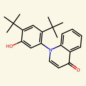 CC(C)(C)c1cc(C(C)(C)C)c(-n2ccc(=O)c3ccccc32)cc1O